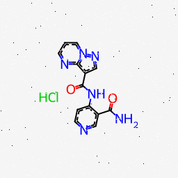 Cl.NC(=O)c1cnccc1NC(=O)c1cnn2cccnc12